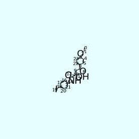 CCOc1ccc(C(=O)/C=C(\O)C(=O)Nc2ccc(I)cc2)cc1